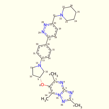 Cc1nc2nc(C)c(O[C@@H]3CCN(c4ccc(-c5ccc(CN6CCCCC6)nn5)cc4)C3)c(C)n2n1